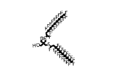 OCC(CBr)(CSC(F)CC(F)(F)C(F)(F)C(F)(F)C(F)(F)C(F)(F)C(F)(F)C(F)(F)C(F)(F)F)CSC(F)CC(F)(F)C(F)(F)C(F)(F)C(F)(F)C(F)(F)C(F)(F)C(F)(F)C(F)(F)F